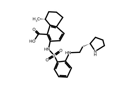 C[C@@H]1CCCc2ccc(NS(=O)(=O)c3ccccc3NCC[C@@H]3CCCN3)c(C(=O)O)c21